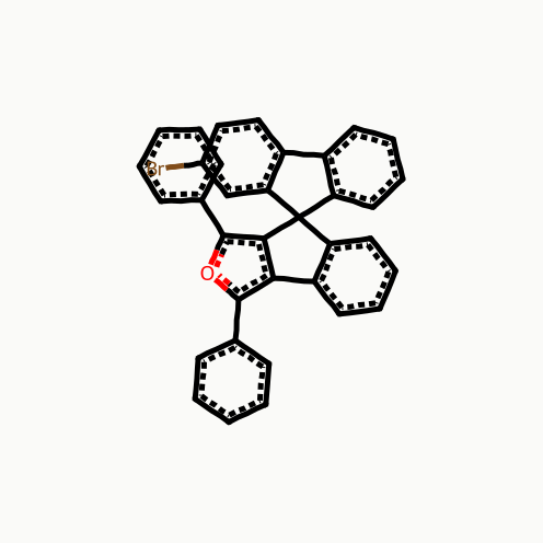 Brc1ccc2c(c1)C1(c3ccccc3-2)c2ccccc2-c2c(-c3ccccc3)oc(-c3ccccc3)c21